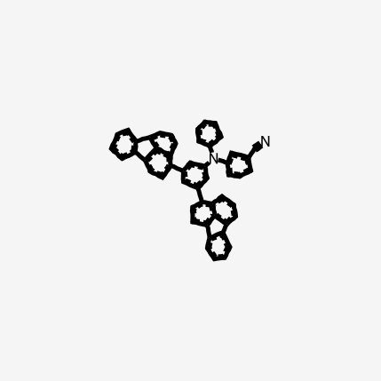 N#Cc1cccc(N(c2ccccc2)c2cc(-c3ccc4c5c(cccc35)-c3ccccc3-4)cc(-c3ccc4c5c(cccc35)-c3ccccc3-4)c2)c1